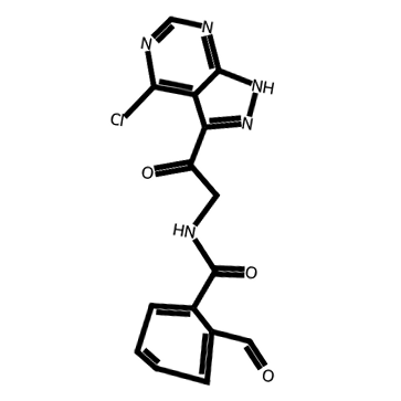 O=Cc1ccccc1C(=O)NCC(=O)c1n[nH]c2ncnc(Cl)c12